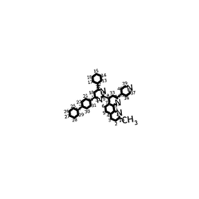 Cc1ccc2ccc3c(-c4nc(-c5ccccc5)cc(-c5ccc(-c6ccccc6)cc5)n4)cc(-c4ccncc4)nc3c2n1